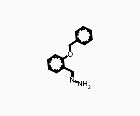 N/N=C/c1ccccc1OCc1ccccc1